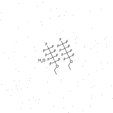 CCOC(F)(F)C(F)(F)C(F)(F)C(F)(F)F.CCOC(F)(F)C(F)(F)C(F)(F)C(F)(F)F.O